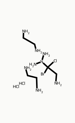 Cl.Cl.NCC(Cl)(Br)N(N)N.NCCN.NCCN